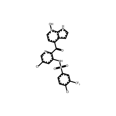 O=C(c1ncc(Cl)cc1NS(=O)(=O)c1ccc(Cl)c(C(F)(F)F)c1)c1cc[n+](O)c2[nH]ccc12